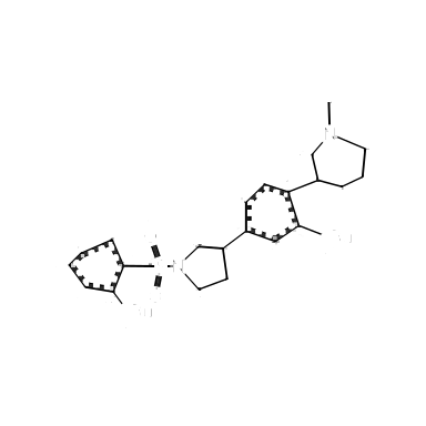 CN1CCCC(c2ccc(C3CCN(S(=O)(=O)c4ccccc4C(C)(C)C)C3)cc2C(C)(C)C)C1